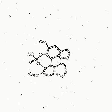 CCCCCCCCCCc1cc2ccccc2c2c1OP(=O)(O)Oc1c(CCCCCCCCCC)cc3ccccc3c1-2